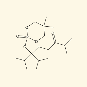 CC(C)C(=O)CCC(OP1(=O)OCC(C)(C)CO1)(C(C)C)C(C)C